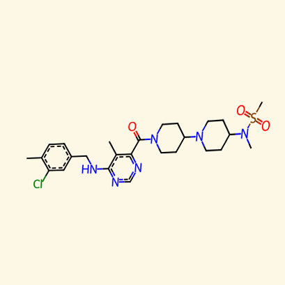 Cc1ccc(CNc2ncnc(C(=O)N3CCC(N4CCC(N(C)S(C)(=O)=O)CC4)CC3)c2C)cc1Cl